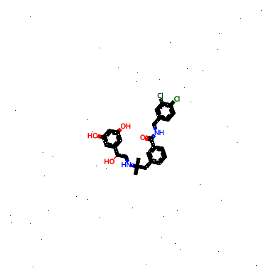 CC(C)(Cc1cccc(C(=O)NCc2ccc(Cl)c(Cl)c2)c1)NC[C@H](O)c1cc(O)cc(O)c1